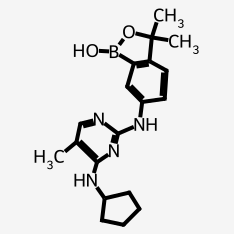 Cc1cnc(Nc2ccc3c(c2)B(O)OC3(C)C)nc1NC1CCCC1